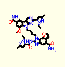 CCn1nc(C)cc1C(=O)Nc1nc2cc(C(N)=O)c3ccoc3c2n1CC=CCn1c2nc(-c3cc(C)nn3CC)ncc2c2cc(C(N)=O)cc(OC)c21